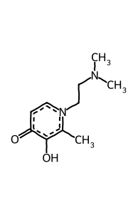 Cc1c(O)c(=O)ccn1CCN(C)C